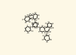 c1ccc(-c2nc(-c3ccc4c(-c5ccccc5)cc5ccccc5c4c3)nc(-c3cccc4oc5ccccc5c34)n2)cc1